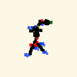 N#Cc1c(N)nc(SCc2coc(-c3ccc(Cl)cc3)n2)c(C#N)c1-c1ccc(OC[C@@H](COC(=O)[C@@H](N)CCCCN)OC(=O)[C@@H](N)CCCCN)cc1